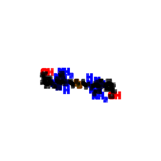 Nc1nc(NCCSSCCNc2nc(N)nc3c2ncn3[C@H]2C=C[C@@H](CO)C2)c2ncn([C@H]3C=C[C@@H](CO)C3)c2n1